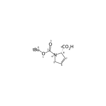 CC(C)(C)OC(=O)N1CC=C[C@H]1C(=O)O